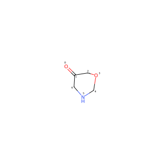 O=C1[CH]OCNC1